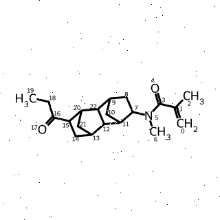 C=C(C)C(=O)N(C)C1CC2CC1C1C3CC(C(=O)CC)C(C3)C21